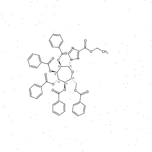 CCOC(=O)c1ncn([C@@H]2O[C@H](COC(=O)c3ccccc3)[C@@H](OC(=O)c3ccccc3)[C@H](OC(=O)c3ccccc3)[C@@H](OC(=O)c3ccccc3)[C@H]2OC(=O)c2ccccc2)n1